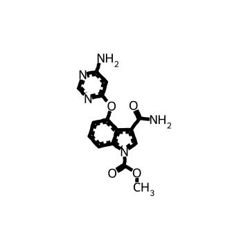 COC(=O)n1cc(C(N)=O)c2c(Oc3cc(N)ncn3)cccc21